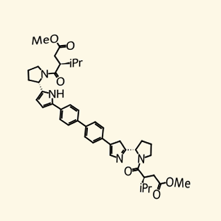 COC(=O)C[C@H](C(=O)N1CCC[C@H]1C1=NC=C(c2ccc(-c3ccc(-c4ccc([C@@H]5CCCN5C(=O)[C@@H](CC(=O)OC)C(C)C)[nH]4)cc3)cc2)C1)C(C)C